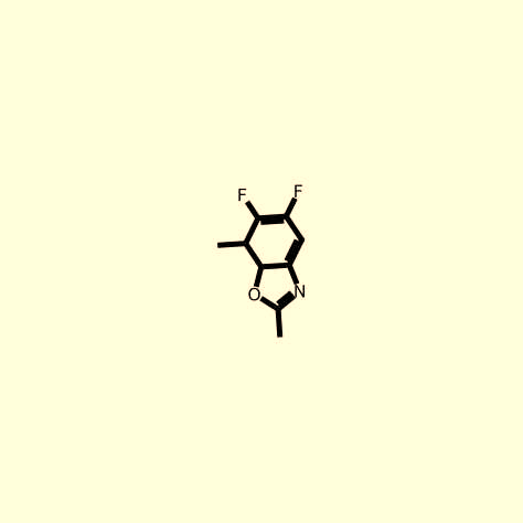 CC1=NC2=CC(F)=C(F)C(C)C2O1